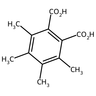 Cc1c(C)c(C)c(C(=O)O)c(C(=O)O)c1C